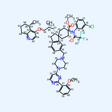 COC(=O)C1(N(C(=O)C(F)(F)F)c2cccc(Cl)c2)CCC2(CC1)c1cc(CN3CCN(c4ccnc(-c5ccccc5OC)n4)CC3)ccc1C[C@@H]2C[C@@H](C)COc1ccnc2c1[C@H](C)CCC2